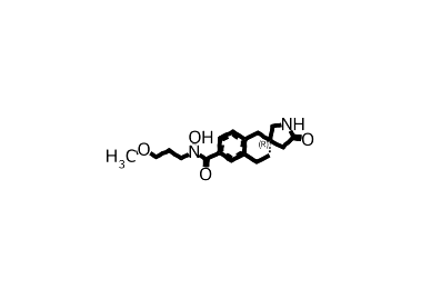 COCCCN(O)C(=O)c1ccc2c(c1)CC[C@@]1(CNC(=O)C1)C2